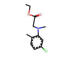 CCOC(=O)CN(C)c1cc(Cl)ccc1C